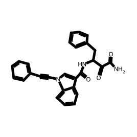 NC(=O)C(=O)C(Cc1ccccc1)NC(=O)c1cn(C#Cc2ccccc2)c2ccccc12